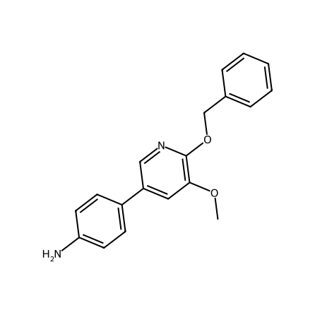 COc1cc(-c2ccc(N)cc2)cnc1OCc1ccccc1